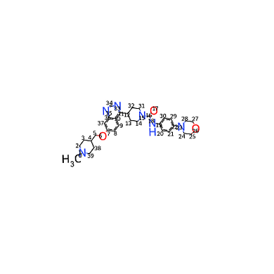 CN1CCC(COc2ccc3c(C4CCN(C(=O)Nc5ccc(N6CCOCC6)cc5)CC4)ncnc3c2)CC1